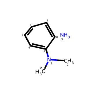 CN(C)c1ccccc1.N